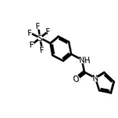 O=C(Nc1ccc(S(F)(F)(F)(F)F)cc1)n1cccc1